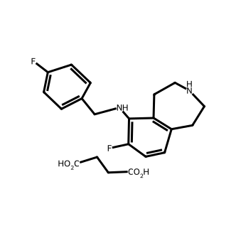 Fc1ccc(CNc2c(F)ccc3c2CCNCC3)cc1.O=C(O)CCC(=O)O